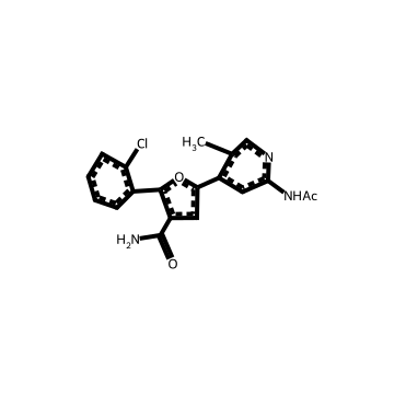 CC(=O)Nc1cc(-c2cc(C(N)=O)c(-c3ccccc3Cl)o2)c(C)cn1